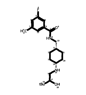 Cc1cc(F)cc(C(=O)NC[C@H]2CC[C@@H](NCC(O)C(C)(C)C)CC2)c1